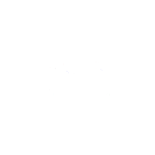 CN(c1ccc(Cl)cc1)S(=O)(=O)c1cccc(C(=O)Nc2ccc(C(F)(F)F)cc2C(=O)O)c1